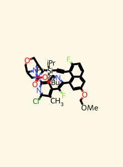 COCOc1cc(-c2ncc3c(N4CC5COCC(C4)N5C(=O)OC(C)(C)C)nc(Cl)c(C)c3c2F)c2c(C#C[Si](C(C)C)(C(C)C)C(C)C)c(F)ccc2c1